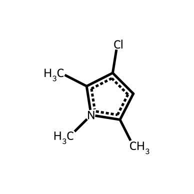 Cc1cc(Cl)c(C)n1C